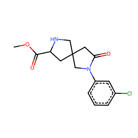 COC(=O)C1CC2(CN1)CC(=O)N(c1cccc(Cl)c1)C2